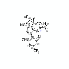 CN(C)/C=N/c1c(C2(C(=O)O)CC2(F)F)c(C#N)nn1-c1c(Cl)cc(C(F)(F)F)cc1Cl